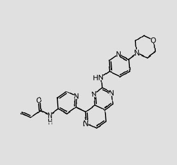 C=CC(=O)Nc1ccnc(-c2nccc3cnc(Nc4ccc(N5CCOCC5)nc4)nc23)c1